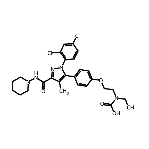 CCN(CCOc1ccc(-c2c(C)c(C(=O)NN3CCCCC3)nn2-c2ccc(Cl)cc2Cl)cc1)C(=O)O